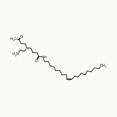 CCCCCCCCC/C=C\CCCCCCCCNC(=O)CCCN(CCN)CCC(C)=O